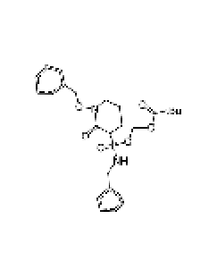 CC(C)(C)C(=O)OCOP(=O)(NCc1ccccc1)C1CCCN(OCc2ccccc2)C1=O